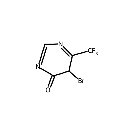 O=C1N=CN=C(C(F)(F)F)C1Br